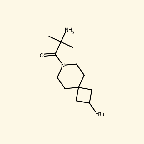 CC(C)(N)C(=O)N1CCC2(CC1)CC(C(C)(C)C)C2